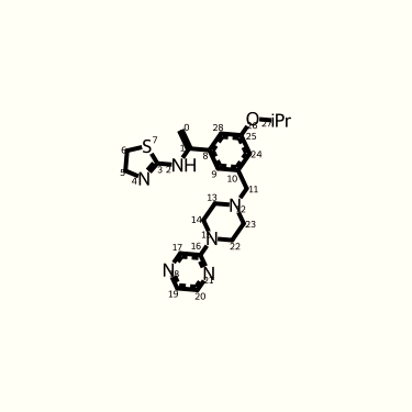 C=C(NC1=NCCS1)c1cc(CN2CCN(c3cnccn3)CC2)cc(OC(C)C)c1